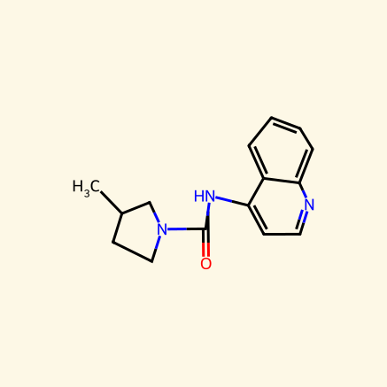 CC1CCN(C(=O)Nc2ccnc3ccccc23)C1